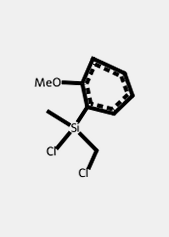 COc1ccccc1[Si](C)(Cl)CCl